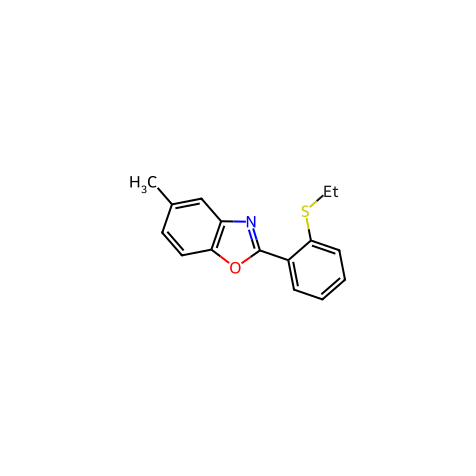 CCSc1ccccc1-c1nc2cc(C)ccc2o1